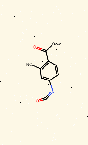 COC(=O)c1ccc(N=C=O)cc1C#N